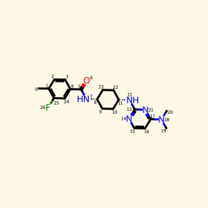 Cc1ccc(C(=O)N[C@H]2CC[C@@H](Nc3nccc(N(C)C)n3)CC2)cc1F